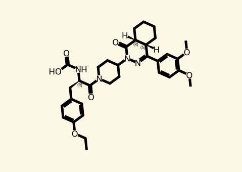 CCOc1ccc(C[C@@H](NC(=O)O)C(=O)N2CCC(N3N=C(c4ccc(OC)c(OC)c4)[C@H]4CCCC[C@H]4C3=O)CC2)cc1